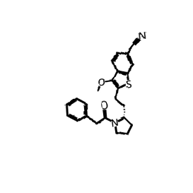 COc1c(CC[C@@H]2CCCN2C(=O)Cc2ccccc2)sc2cc(C#N)ccc12